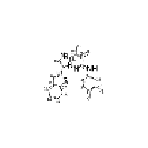 Cc1ccc(Nc2nn3c(-c4cc5ccccc5s4)cnc3c(C)c2C)cc1C